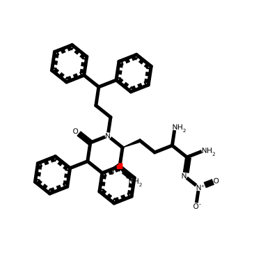 NC(=O)[C@H](CCC(N)C(N)=N[N+](=O)[O-])N(CCC(c1ccccc1)c1ccccc1)C(=O)C(c1ccccc1)c1ccccc1